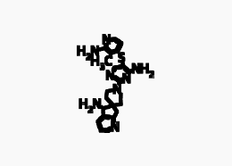 Cc1c(Sc2cnc(N3CCC4(CC3)Cc3ncccc3[C@H]4N)nc2N)ccnc1N